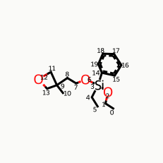 CCO[Si](CC)(OCCC1(C)COC1)c1ccccc1